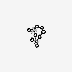 c1ccc(-c2nc(-c3ccc(-c4cccc(-c5cccc(-c6cccc(-c7nc(-c8ccccc8)c8sc9ccccc9c8n7)c6)c5)c4)cc3)nc3c2sc2ccccc23)cc1